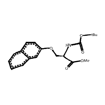 COC(=O)[C@@H](COc1ccc2ccccc2c1)NC(=O)OC(C)(C)C